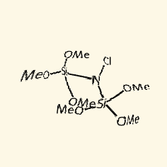 CO[Si](OC)(OC)N(Cl)[Si](OC)(OC)OC